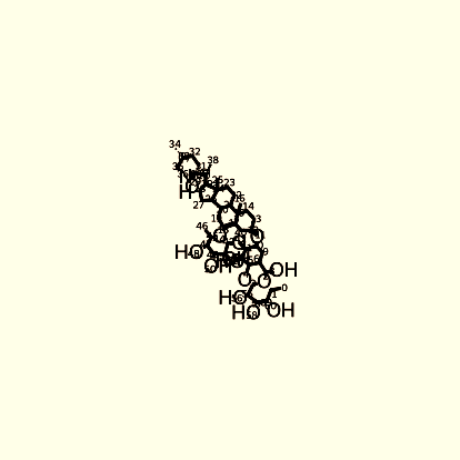 CC1OC(OC2C(CO)CC(OC3CCC4(C)C(=CCC5C4CCC4(C)C5CC5O[C@]6(CC[C@@H](C)CN6)[C@@H](C)C54)C3)C(OC3OC(C)C(O)C(O)C3O)C2O)C(O)C(O)C1O